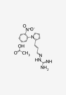 CC(=O)O.N=C(N)N/N=C/C=Cc1cccn1-c1ccccc1[N+](=O)[O-]